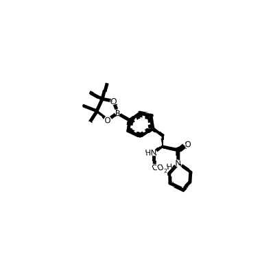 CC1(C)OB(c2ccc(C[C@H](NC(=O)O)C(=O)N3CCCCC3)cc2)OC1(C)C